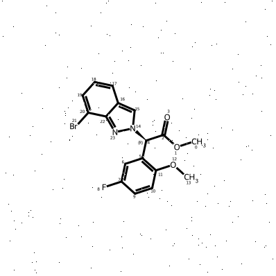 COC(=O)[C@@H](c1cc(F)ccc1OC)n1cc2cccc(Br)c2n1